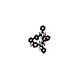 c1ccc(-c2nc(-c3ccccc3)nc(-c3ccc(-c4cccc5sc6ccc(-c7nc(-c8ccccc8)nc8c7sc7ccccc78)cc6c45)cc3)n2)cc1